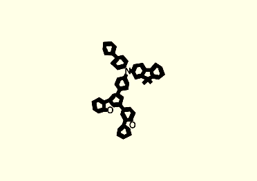 CC1(C)c2ccccc2-c2ccc(N(c3ccc(-c4ccccc4)cc3)c3ccc(-c4cc(-c5ccc6oc7ccccc7c6c5)c5oc6ccccc6c5c4)cc3)cc21